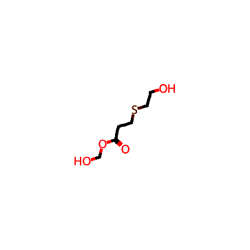 O=C(CCSCCO)OCO